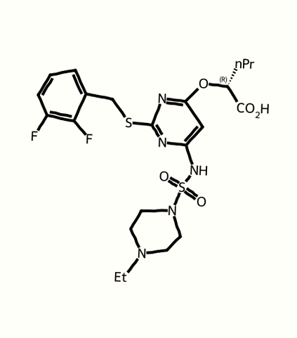 CCC[C@@H](Oc1cc(NS(=O)(=O)N2CCN(CC)CC2)nc(SCc2cccc(F)c2F)n1)C(=O)O